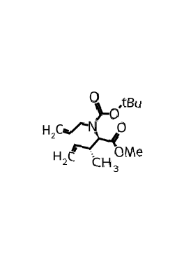 C=CCN(C(=O)OC(C)(C)C)[C@@H](C(=O)OC)[C@H](C)C=C